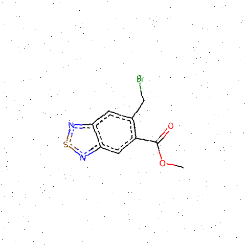 COC(=O)c1cc2nsnc2cc1CBr